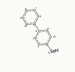 [SeH]c1ccc(-c2cc[c]cc2)cc1